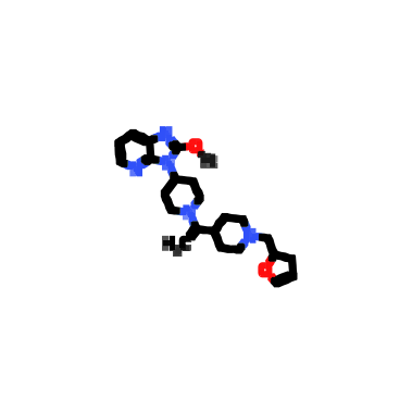 C=C(C1CCN(CC2CC=CO2)CC1)N1CCC(n2c(OCC)nc3cccnc32)CC1